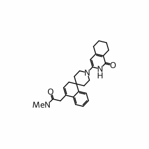 CNC(=O)CC1=CCC2(CCN(c3cc4c(c(=O)[nH]3)CCCC4)CC2)c2ccccc21